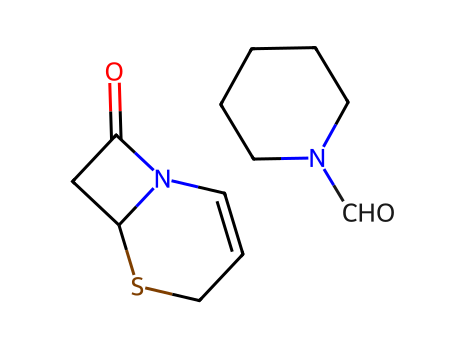 O=C1CC2SCC=CN12.O=CN1CCCCC1